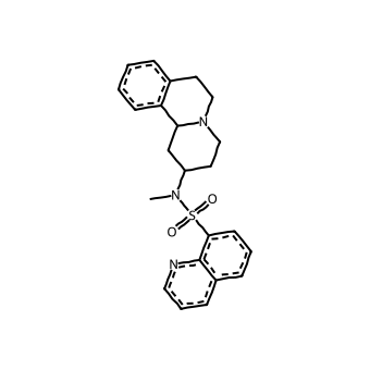 CN(C1CCN2CCc3ccccc3C2C1)S(=O)(=O)c1cccc2cccnc12